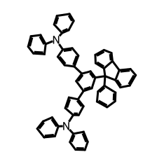 c1ccc(N(c2ccccc2)c2ccc(-c3cc(-c4ccc(N(c5ccccc5)c5ccccc5)cc4)cc(C4(c5ccccc5)c5ccccc5-c5ccccc54)c3)cc2)cc1